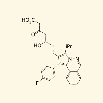 CC(C)c1c(/C=C/C(O)CC(=O)CC(=O)O)c(-c2ccc(F)cc2)c2c3ccccc3cnn12